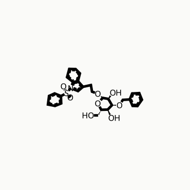 O=S(=O)(c1ccccc1)n1cc(CCO[C@H]2O[C@@H](CO)[C@H](O)[C@@H](OCc3ccccc3)[C@@H]2O)c2ccccc21